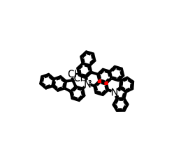 CC1(C)c2cc3ccccc3cc2-c2cccc(N(c3ccc(-n4c5ccccc5c5ccccc54)cc3)c3ccc4ccccc4c3-c3ccc4ccccc4c3)c21